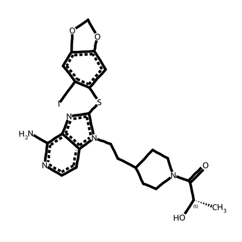 C[C@H](O)C(=O)N1CCC(CCn2c(Sc3cc4c(cc3I)OCO4)nc3c(N)nccc32)CC1